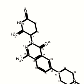 C=C1NC(=O)CCC1n1nc(C)c2ccc(N3CCN(C)CC3)cc2c1=O